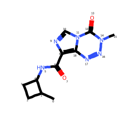 CC1CCC1NC(=O)c1ncn2c(=O)n(C)nnc12